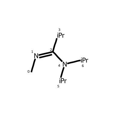 C/N=C(/C(C)C)N(C(C)C)C(C)C